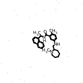 Cc1ccc(NCC2CCCCCN2C)cc1C(=O)N[C@H](C)c1cccc2ccccc12